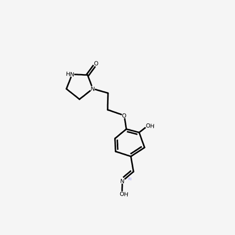 O=C1NCCN1CCOc1ccc(/C=N/O)cc1O